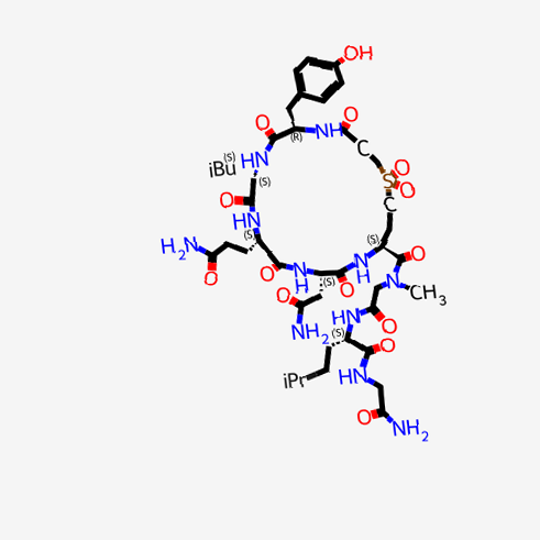 CC[C@H](C)[C@@H]1NC(=O)[C@@H](Cc2ccc(O)cc2)NC(=O)CCS(=O)(=O)CC[C@@H](C(=O)N(C)CC(=O)N[C@@H](CCC(C)C)C(=O)NCC(N)=O)NC(=O)[C@H](CC(N)=O)NC(=O)[C@H](CCC(N)=O)NC1=O